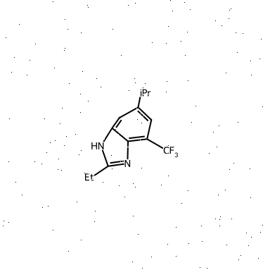 CCc1nc2c(C(F)(F)F)cc(C(C)C)cc2[nH]1